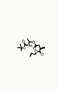 C=C(CC(=O)OC(C)NC(=O)OC(C)(C)C)C(=O)OCCC